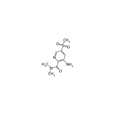 CN(C)C(=O)c1ncc(S(C)(=O)=O)cc1N